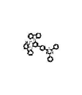 Cc1c(-n2c3ccccc3c3ccccc32)cc(-c2ccc(-c3nc(-c4ccccc4)nc(-c4ccccc4)n3)cc2)cc1-n1c2ccccc2c2ccccc21